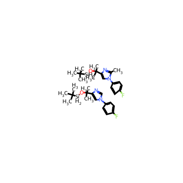 CC(C)(C)[SiH2]OC(C)(C)c1cn(-c2ccc(F)cc2)cn1.Cc1nc(C(C)(C)O[SiH2]C(C)(C)C)cn1-c1ccc(F)cc1